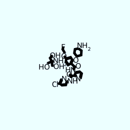 NC(CO)(CO)CO.NC1CCC(Oc2cc(OCCF)ccc2C(=O)Nc2cccnc2C(=O)Nc2ccc(Cl)cn2)CC1